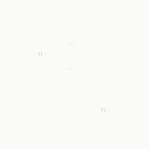 CC(C)Oc1cccc2c1CCNC2